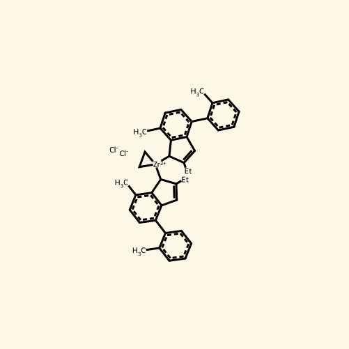 CCC1=Cc2c(-c3ccccc3C)ccc(C)c2[CH]1[Zr+2]1([CH]2C(CC)=Cc3c(-c4ccccc4C)ccc(C)c32)[CH2][CH2]1.[Cl-].[Cl-]